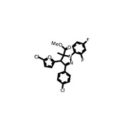 COC(=O)C1(C)C(c2ccc(Cl)o2)C(c2ccc(Cl)cc2)=NN1c1ccc(F)cc1F